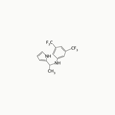 CC(Nc1cc(C(F)(F)F)cc(C(F)(F)F)c1)c1ccc[nH]1